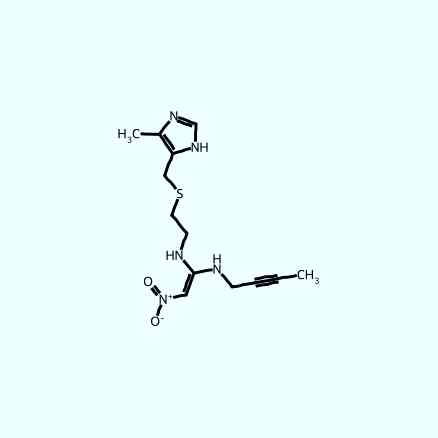 CC#CCN/C(=C/[N+](=O)[O-])NCCSCc1[nH]cnc1C